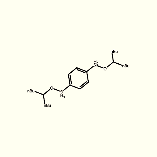 CCCCC(CCCC)O[SiH2]c1ccc([SiH2]OC(CCCC)CCCC)cc1